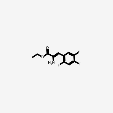 CCOC(=O)/C(N)=C/c1cc(F)c(F)cc1F